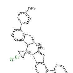 CCCCC1=Cc2c(-c3ccc(CCC)cc3)cccc2[CH]1[Zr+2]1([CH]2C(CCCC)=Cc3c(-c4ccc(CCC)cc4)cccc32)[CH2][CH2]1.[Cl-].[Cl-]